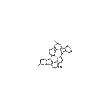 Cc1ccc2c(c1)c1ccccc1n2-c1ccncc1-c1cc(C#N)ccc1-n1c2ccccc2c2cc(C)ccc21